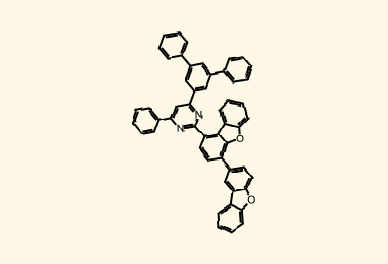 c1ccc(-c2cc(-c3ccccc3)cc(-c3cc(-c4ccccc4)nc(-c4ccc(-c5ccc6oc7ccccc7c6c5)c5oc6ccccc6c45)n3)c2)cc1